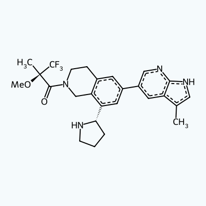 CO[C@](C)(C(=O)N1CCc2cc(-c3cnc4[nH]cc(C)c4c3)cc([C@@H]3CCCN3)c2C1)C(F)(F)F